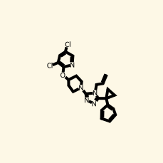 C=CCn1c(N2CCC(Oc3ncc(Cl)cc3Cl)CC2)nnc1C1(c2ccccc2)CC1